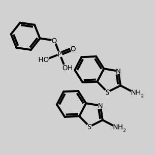 Nc1nc2ccccc2s1.Nc1nc2ccccc2s1.O=P(O)(O)Oc1ccccc1